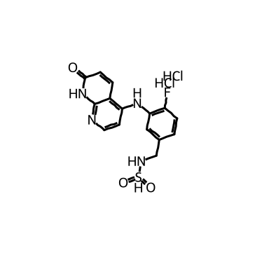 Cl.Cl.O=c1ccc2c(Nc3cc(CN[SH](=O)=O)ccc3F)ccnc2[nH]1